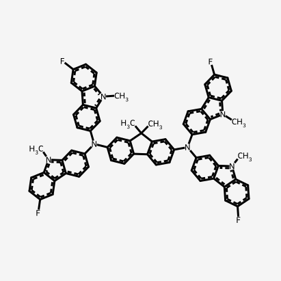 Cn1c2ccc(F)cc2c2ccc(N(c3ccc4c(c3)C(C)(C)c3cc(N(c5ccc6c7cc(F)ccc7n(C)c6c5)c5ccc6c7cc(F)ccc7n(C)c6c5)ccc3-4)c3ccc4c5cc(F)ccc5n(C)c4c3)cc21